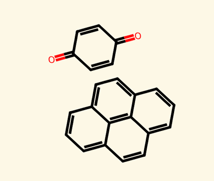 O=C1C=CC(=O)C=C1.c1cc2ccc3cccc4ccc(c1)c2c34